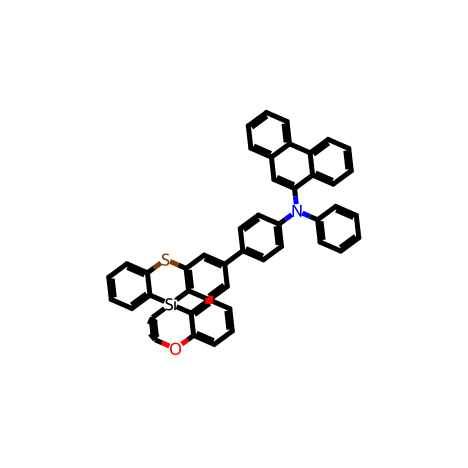 c1ccc(N(c2ccc(-c3ccc4c(c3)Sc3ccccc3[Si]43c4ccccc4Oc4ccccc43)cc2)c2cc3ccccc3c3ccccc23)cc1